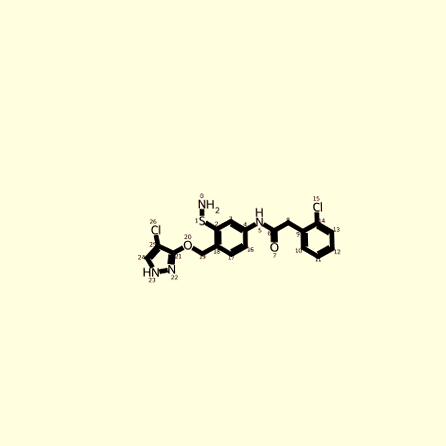 NSc1cc(NC(=O)Cc2ccccc2Cl)ccc1COc1n[nH]cc1Cl